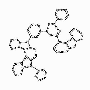 c1ccc(-c2nc(-c3cccc(-n4c5ccccc5c5c6c7ccccc7n(-c7ccccc7)c6ccc54)c3)nc(-c3cccc4oc5ccccc5c34)n2)cc1